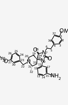 COc1ccc(CCN2C(=O)N(c3cccc(N)c3)[C@@]3(CCN(Cc4cccc(OC(C)C)c4)[C@@H](C)C3)C2=O)cc1